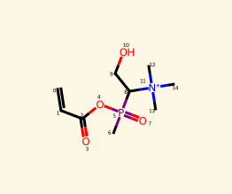 C=CC(=O)OP(C)(=O)C(CO)[N+](C)(C)C